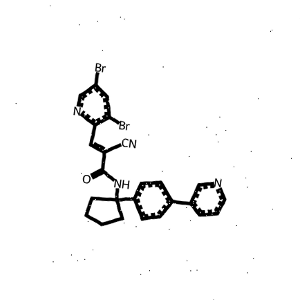 N#C/C(=C\c1ncc(Br)cc1Br)C(=O)NC1(c2ccc(-c3cccnc3)cc2)CCCC1